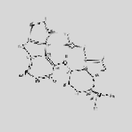 C/C=C/COC[C@H]1CCc2sc3ncnc(O[C@H]4CC[C@H](N(C)C)CC4)c3c21